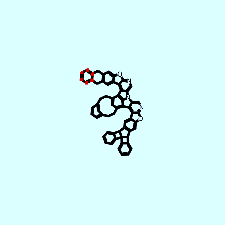 c1cc2cc(c1)CCc1cc(c3c4c5c(ncc4n4c6cnc7oc8cc9c(cc8c7c6c1c34)C1c3ccccc3C13c1ccccc1C93)oc1cc3c(cc15)C1c4ccccc4C3c3ccccc31)CC2